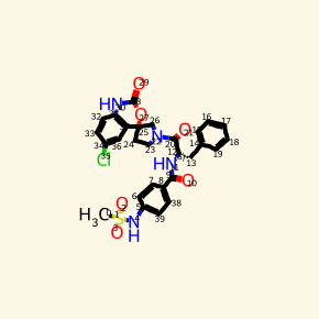 CS(=O)(=O)Nc1ccc(C(=O)N[C@@H](Cc2ccccc2)C(=O)N2CCC3(C2)OC(=O)Nc2ccc(Cl)cc23)cc1